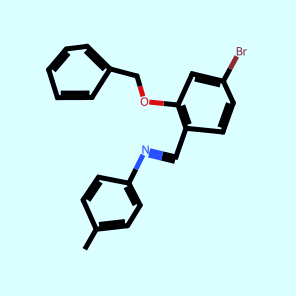 Cc1ccc(/N=C/c2ccc(Br)cc2OCc2ccccc2)cc1